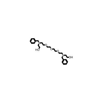 OCCN(CCOCCOCCOCCN(CCO)Cc1ccccc1)Cc1ccccc1